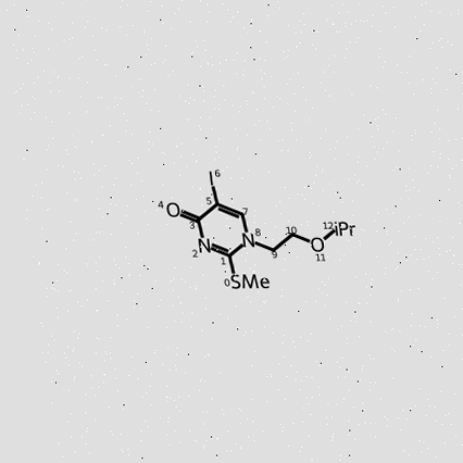 CSc1nc(=O)c(I)cn1CCOC(C)C